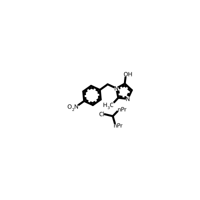 CCCC(Cl)CCC.Cc1ncc(O)n1Cc1ccc([N+](=O)[O-])cc1